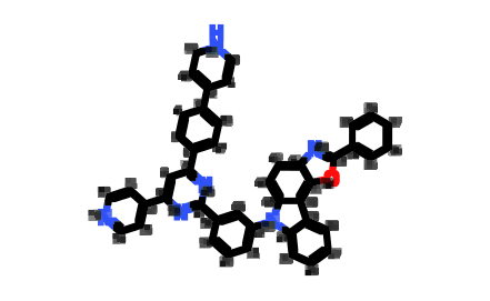 C1=CC(c2ccc(-c3cc(-c4ccncc4)nc(-c4cccc(-n5c6ccccc6c6c7oc(-c8ccccc8)nc7ccc65)c4)n3)cc2)=CCN1